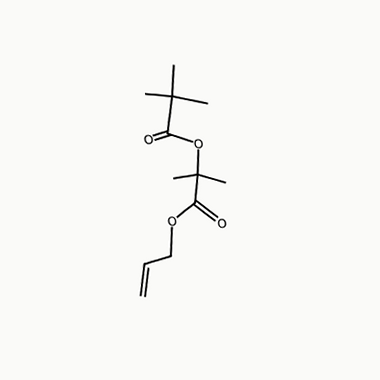 C=CCOC(=O)C(C)(C)OC(=O)C(C)(C)C